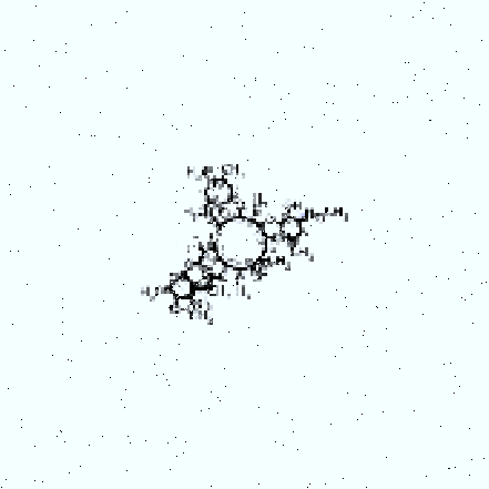 CO/N=C1\C[C@@H](C)O[C@@H](O[C@@H]2[C@@H](C)[C@H](O[C@H]3C[C@H](C)N(C)C[C@H](C)O3)[C@@H](C)C(=O)O[C@H](C(C)CO[C@@H]3O[C@H](C)[C@@H](O)[C@@H](OC)[C@H]3OC)[C@H](C)[C@@H](OC(=O)CC(C)C)[C@@H](C)C(=O)[C@@](C)(O)C[C@@H]2C)[C@@H]1O